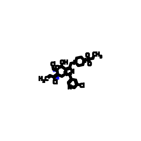 C=C/C(Cl)=C(\C=C\Cl)Cn1c(-c2cncc(Cl)c2)nc(CN2CCN(S(=O)(=O)CC)CC2)c1C(=O)O